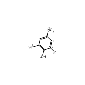 CCCc1cc([N+](=O)[O-])cc(Cl)c1O